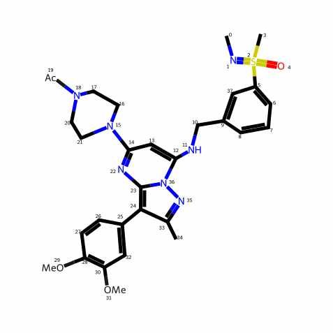 CN=S(C)(=O)c1cccc(CNc2cc(N3CCN(C(C)=O)CC3)nc3c(-c4ccc(OC)c(OC)c4)c(C)nn23)c1